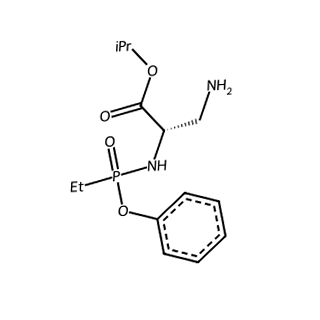 CCP(=O)(N[C@@H](CN)C(=O)OC(C)C)Oc1ccccc1